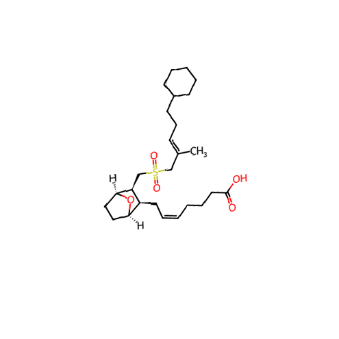 CC(=CCCC1CCCCC1)CS(=O)(=O)C[C@H]1[C@@H](C/C=C\CCCC(=O)O)[C@H]2CC[C@@H]1O2